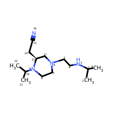 CC(C)NCCN1CCN(C(C)C)[C@@H](CC#N)C1